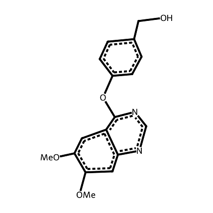 COc1cc2ncnc(Oc3ccc(CO)cc3)c2cc1OC